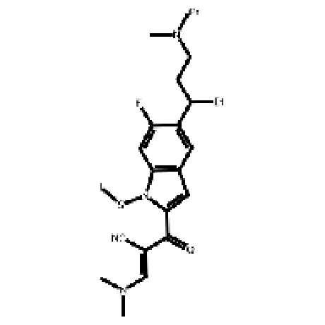 CCC(CCN(C)C(C)C)c1cc2cc(C(=O)/C(C#N)=C/N(C)C)n(SI)c2cc1F